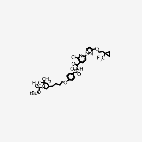 CC(C)(C)OC(=O)N1CC(CCCCOc2ccc(S(=O)(=O)NC(=O)c3ccc(-n4ccc(OCCC5(C(F)(F)F)CC5)n4)nc3Cl)cc2)CC1(C)C